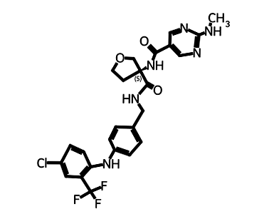 CNc1ncc(C(=O)N[C@@]2(C(=O)NCc3ccc(Nc4ccc(Cl)cc4C(F)(F)F)cc3)CCOC2)cn1